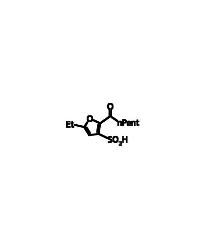 CCCCCC(=O)c1oc(CC)cc1S(=O)(=O)O